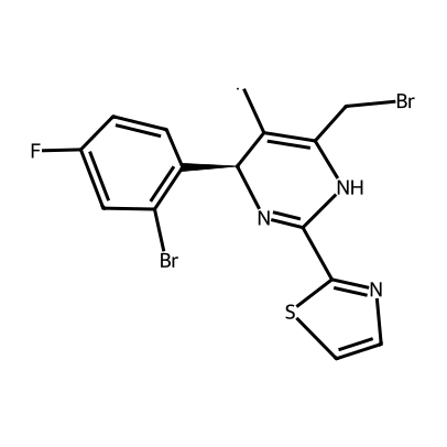 [CH2]C1=C(CBr)NC(c2nccs2)=N[C@H]1c1ccc(F)cc1Br